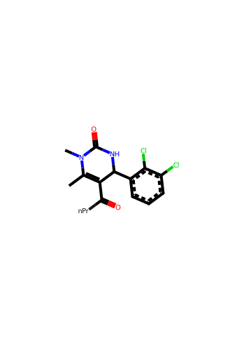 CCCC(=O)C1=C(C)N(C)C(=O)NC1c1cccc(Cl)c1Cl